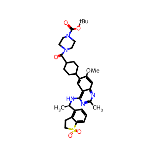 COc1cc2nc(C)nc(N[C@H](C)c3cccc4c3CCS4(=O)=O)c2cc1C1CCC(C(=O)N2CCN(C(=O)OC(C)(C)C)CC2)CC1